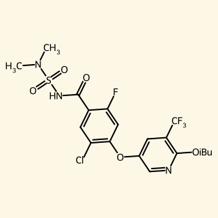 CC(C)COc1ncc(Oc2cc(F)c(C(=O)NS(=O)(=O)N(C)C)cc2Cl)cc1C(F)(F)F